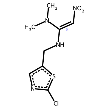 CN(C)/C(=C\[N+](=O)[O-])NCc1cnc(Cl)s1